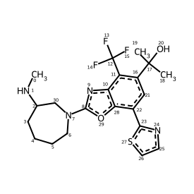 CNC1CCCCN(c2nc3c(C(F)(F)F)c(C(C)(C)O)cc(-c4nccs4)c3o2)C1